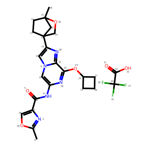 Cc1nc(C(=O)Nc2cn3cc(C45CCC(C)(C4)OC5)nc3c(OC3CCC3)n2)co1.O=C(O)C(F)(F)F